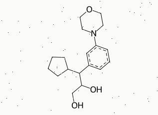 OCC(O)C(c1cccc(N2CCOCC2)c1)C1CCCC1